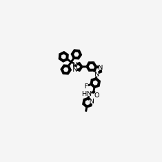 Cc1ccc(NC(=O)c2ccc(-n3cnc4ccc(-c5cnn(C(c6ccccc6)(c6ccccc6)c6ccccc6)c5)cc43)cc2F)nc1